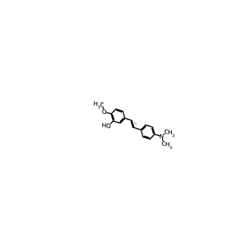 COc1ccc(/C=C/c2ccc(N(C)C)cc2)cc1O